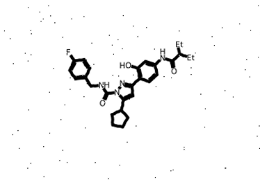 CCC(CC)C(=O)Nc1ccc(-c2cc(C3CCCC3)n(C(=O)NCc3ccc(F)cc3)n2)c(O)c1